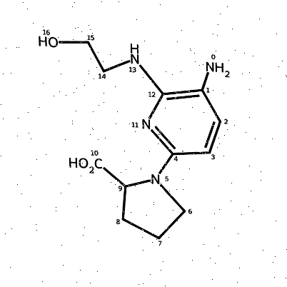 Nc1ccc(N2CCCC2C(=O)O)nc1NCCO